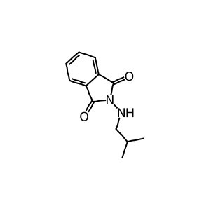 CC(C)CNN1C(=O)c2ccccc2C1=O